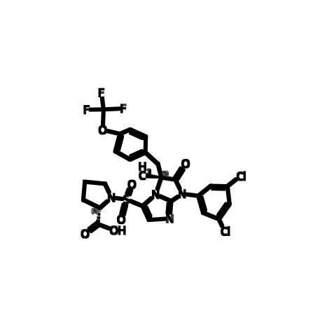 C[C@@]1(Cc2ccc(OC(F)(F)F)cc2)C(=O)N(c2cc(Cl)cc(Cl)c2)c2ncc(S(=O)(=O)N3CCC[C@H]3C(=O)O)n21